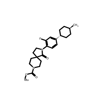 CC(C)(C)OC(=O)N1CCC2(CC1)CCN(c1ccc([C@H]3CC[C@H](C)CC3)cc1F)C2=O